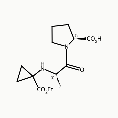 CCOC(=O)C1(N[C@@H](C)C(=O)N2CCC[C@H]2C(=O)O)CC1